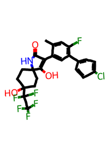 Cc1cc(F)c(-c2ccc(Cl)cc2)cc1C1=C(O)C2(CCC(O)(C(F)(F)C(F)(F)F)CC2)NC1=O